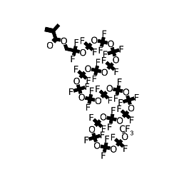 C=C(C)C(=O)OCC(F)(F)OC(F)(F)OC(F)(F)OC(F)(F)OC(F)(F)OC(F)(F)OC(F)(F)OC(F)(F)OC(F)(F)OC(F)(F)OC(F)(F)OC(F)(F)OC(F)(F)OC(F)(F)OC(F)(F)OC(F)(F)OC(F)(F)OC(F)(F)OC(F)(F)F